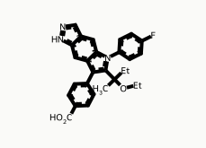 CCOC(C)(CC)c1c(-c2ccc(C(=O)O)cc2)c2cc3[nH]ncc3cc2n1-c1ccc(F)cc1